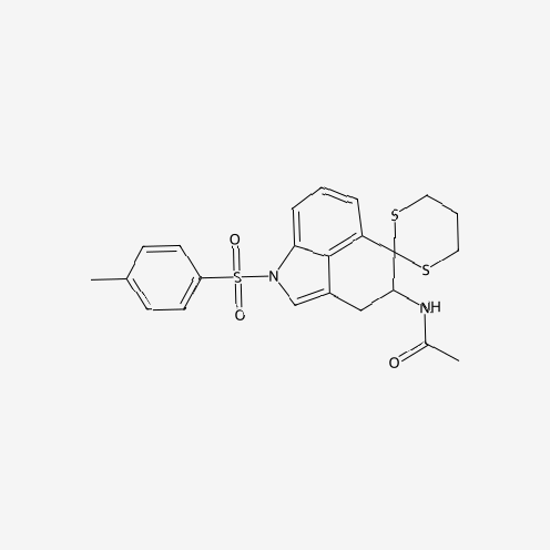 CC(=O)NC1Cc2cn(S(=O)(=O)c3ccc(C)cc3)c3cccc(c23)C12SCCCS2